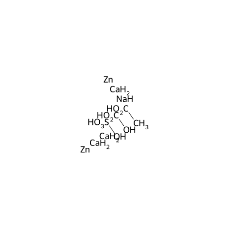 CC(=O)O.O=C(O)O.O=S(=O)(O)O.[CaH2].[CaH2].[CaH2].[NaH].[Zn].[Zn]